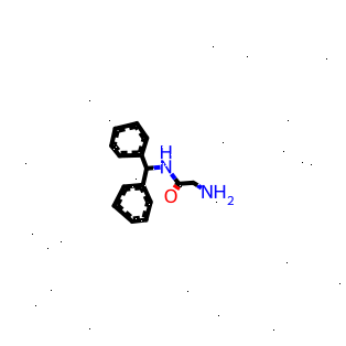 NCC(=O)NC(c1ccccc1)c1ccccc1